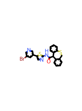 O=C(Nc1ncc(-c2cncc(Br)c2)s1)C1c2ccccc2CSc2ccccc21